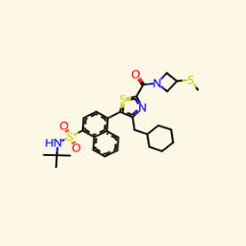 CSC1CN(C(=O)c2nc(CC3CCCCC3)c(-c3ccc(S(=O)(=O)NC(C)(C)C)c4ccccc34)s2)C1